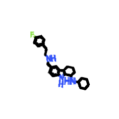 Fc1ccc(CCNCc2ccc3[nH]c4c(c3c2)CCCC4NC2CCCCC2)cc1